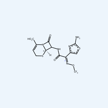 Nc1nc(/C(=N\OC(F)(F)F)C(=O)NC2C(=O)N3C(C(=O)O)=CCS[C@H]23)cs1